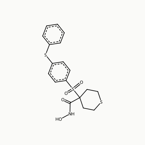 O=C(NO)C1(S(=O)(=O)c2ccc(Sc3ccccc3)cc2)CCSCC1